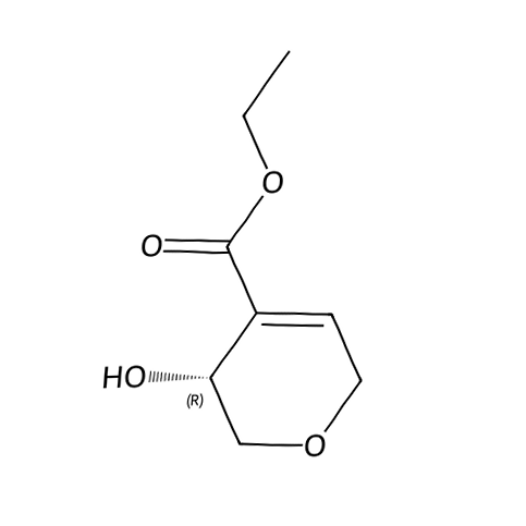 CCOC(=O)C1=CCOC[C@@H]1O